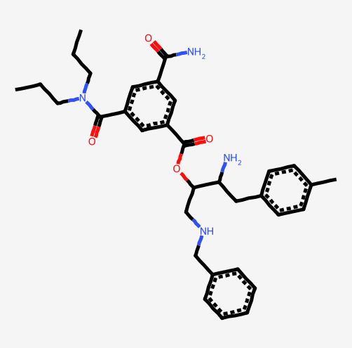 CCCN(CCC)C(=O)c1cc(C(N)=O)cc(C(=O)OC(CNCc2ccccc2)C(N)Cc2ccc(C)cc2)c1